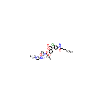 CCCCCCCCCCCCCC(=O)Nc1ccc(-c2cc(=O)oc3cc(O[C@H](C)C(=O)N(CC)CC(=O)NC4CCN(C)C4)ccc23)c(Cl)c1